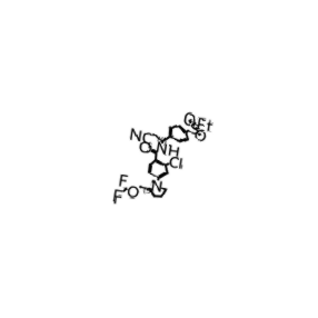 CCS(=O)(=O)c1ccc([C@H](CC#N)NC(=O)c2ccc(N3CCC[C@H]3COC(F)F)cc2Cl)cc1